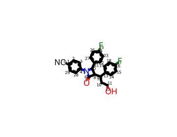 N#Cc1ccc(N2C(=O)C(C(CCO)c3ccc(F)cc3)C2c2ccc(F)cc2)cc1